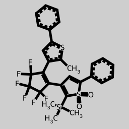 Cc1sc(-c2ccccc2)cc1C1=C(C2=C([Si](C)(C)C)S(=O)(=O)C(c3ccccc3)=C2)C(F)(F)C(F)(F)C1(F)F